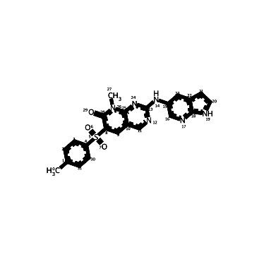 Cc1ccc(S(=O)(=O)c2cc3cnc(Nc4cnc5[nH]ccc5c4)nc3n(C)c2=O)cc1